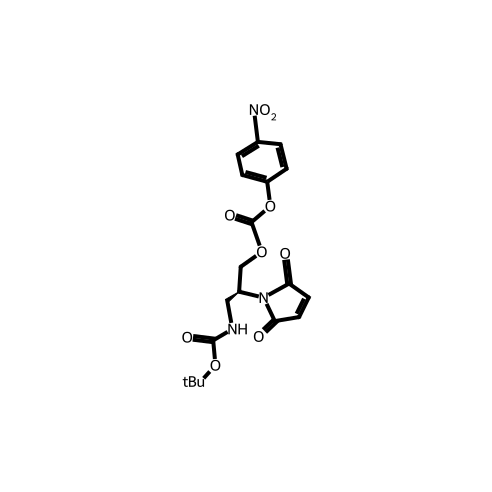 CC(C)(C)OC(=O)NC[C@@H](COC(=O)Oc1ccc([N+](=O)[O-])cc1)N1C(=O)C=CC1=O